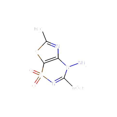 CCCCCCCCC1=NS(=O)(=O)c2sc(C)nc2N1N